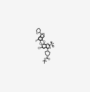 CC(C)(C)OC(=O)N1CCN(c2nc(S(C)(=O)=O)nc3c(Oc4c(Cl)c(F)cc5c4cnn5C4CCCCO4)nc(Cl)cc23)CC1